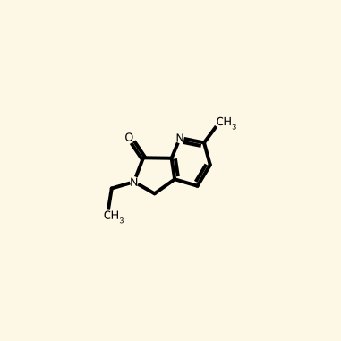 CCN1Cc2ccc(C)nc2C1=O